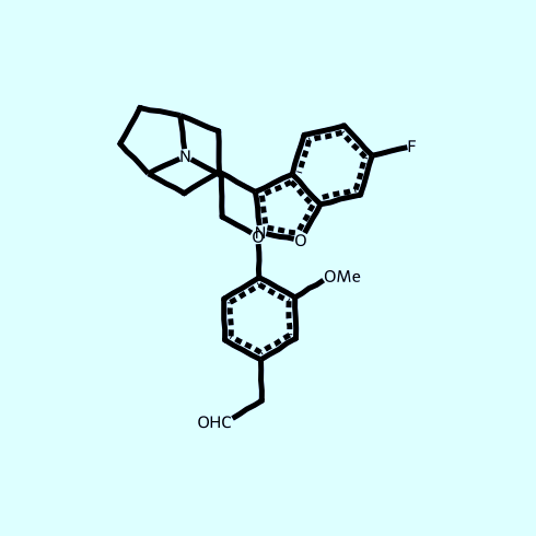 COc1cc(CC=O)ccc1OCCN1C2CCC1CC(c1noc3cc(F)ccc13)C2